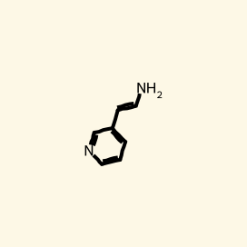 NC=Cc1cccnc1